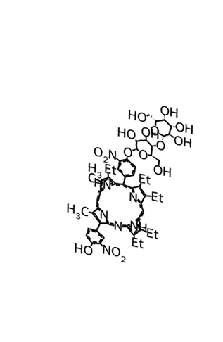 CCC1=C(CC)c2nc1cc1[nH]c(nc3nc(cc4[nH]c(c(CC)c4C)c2-c2ccc(O[C@@H]4O[C@H](CO)[C@H](O[C@@H]5O[C@H](CO)[C@H](O)[C@H](O)[C@H]5O)[C@H](O)[C@H]4O)c([N+](=O)[O-])c2)C(C)=C3c2ccc(O)c([N+](=O)[O-])c2)c(CC)c1CC